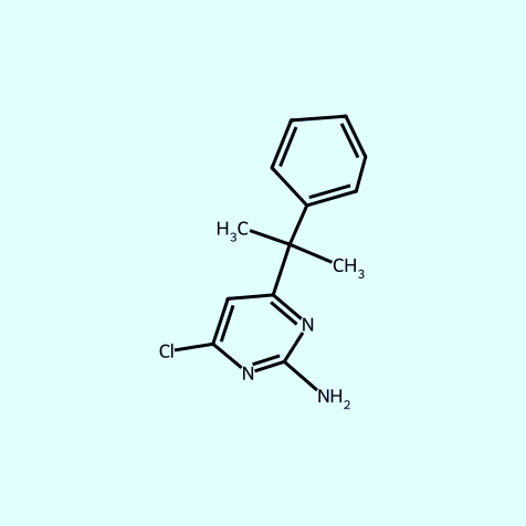 CC(C)(c1ccccc1)c1cc(Cl)nc(N)n1